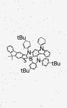 CC(C)(C)c1ccc(N2c3ccc(C(C)(C)C)cc3B3c4sc5cc6c(cc5c4N(C4=CCC(C(C)(C)C)C=C4)c4cc5c(c2c43)c2ccccc2n5C2=CCCC=C2)-c2ccccc2C6(C)C)cc1